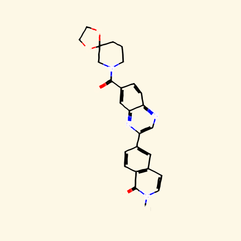 Cn1ccc2cc(-c3cnc4ccc(C(=O)N5CCCC6(C5)OCCO6)cc4n3)ccc2c1=O